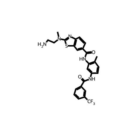 Cc1ccc(NC(=O)c2cccc(C(F)(F)F)c2)cc1NC(=O)c1ccc2nc(N(C)CCN)sc2c1